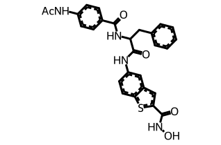 CC(=O)Nc1ccc(C(=O)NC(Cc2ccccc2)C(=O)Nc2ccc3sc(C(=O)NO)cc3c2)cc1